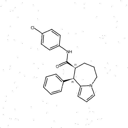 O=C(Nc1ccc(Cl)cc1)[C@H]1CCCn2cccc2[C@H]1c1ccccc1